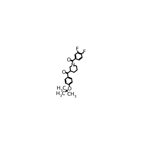 CC(C)(C)Oc1ccc(C(=O)C2CCCN(C(=O)c3ccc(F)c(F)c3)C2)cc1